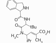 C/C(=C\C(C(C)C)N(C)C(=O)C(NC(=O)C1NCc2ccccc21)C(C)(C)C)C(=O)O